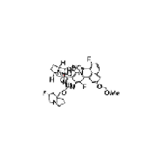 C#Cc1c(F)ccc2cc(OCOC)cc(-c3nc4c5c(nc(OC[C@@]67CCCN6C[C@H](F)C7)nc5c3F)N3C[C@@H]5CC[C@H]([C@H]3CO4)N5C(=O)OC(C)(C)C)c12